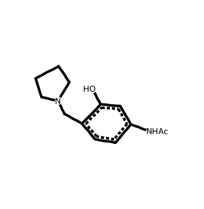 CC(=O)Nc1ccc(CN2CCCC2)c(O)c1